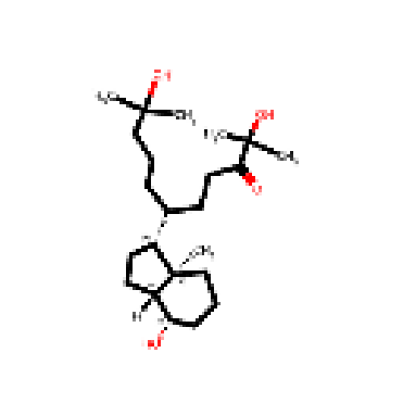 CC(C)(O)CCCC(CCC(=O)C(C)(C)O)[C@H]1CC[C@H]2[C@@H](O)CCC[C@]12C